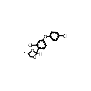 [2H][C@]1(c2ccc(Oc3ccc(Cl)cc3)cc2Cl)OC[C@H](C)O1